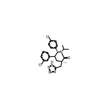 CC(C)N1C(=O)[C@@](C)(Cc2nnn[nH]2)CC(c2cccc(Cl)c2)[C@H]1c1ccc(Cl)cc1